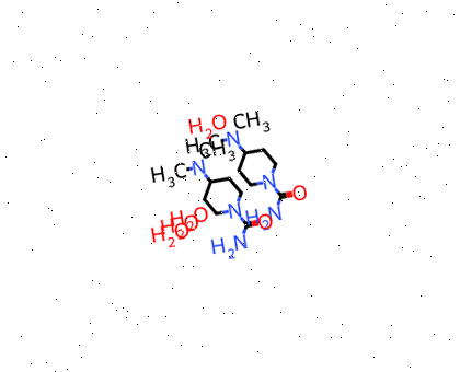 CN(C)C1CCN(C(N)=O)CC1.CN(C)C1CCN(C(N)=O)CC1.O.O.O.O